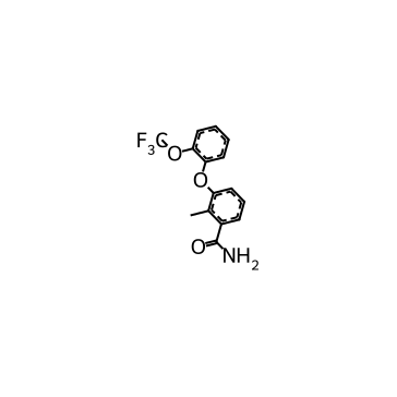 Cc1c(Oc2ccccc2OC(F)(F)F)cccc1C(N)=O